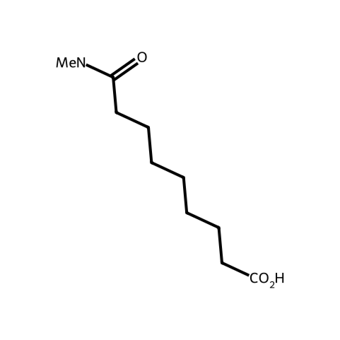 [CH2]NC(=O)CCCCCCCC(=O)O